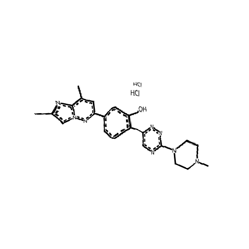 Cc1cn2nc(-c3ccc(-c4cnc(N5CCN(C)CC5)nn4)c(O)c3)cc(C)c2n1.Cl.Cl